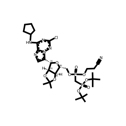 CC(C)(C)OP(=O)(CP(=O)(OCCC#N)OC[C@H]1O[C@@H](c2cnc3c(NC4CCCC4)nc(Cl)nn23)[C@@H]2OC(C)(C)O[C@@H]21)OC(C)(C)C